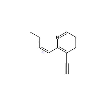 C#CC1=C(/C=C\CC)N=CCC1